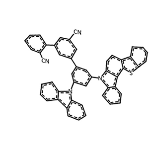 N#Cc1cc(-c2cc(-n3c4ccccc4c4ccccc43)cc(-n3c4ccccc4c4c5sc6ccccc6c5ccc43)c2)cc(-c2ccccc2C#N)c1